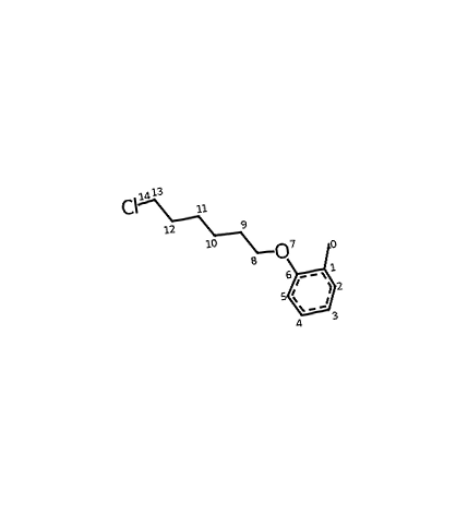 [CH2]c1ccccc1OCCCCCCCl